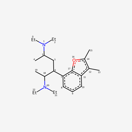 CCN(CC)C(C)CC(c1cccc2c(C)c(C)oc12)C(C)N(CC)CC